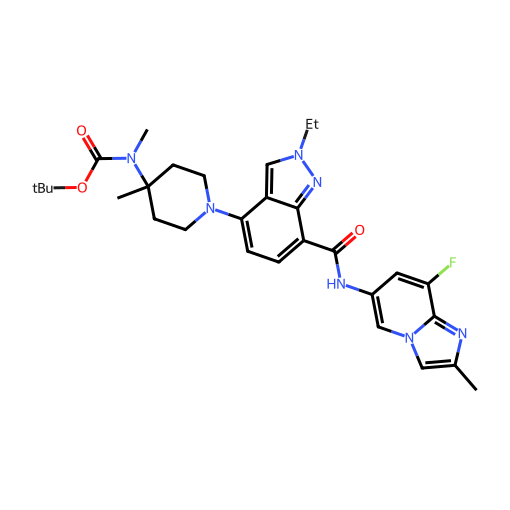 CCn1cc2c(N3CCC(C)(N(C)C(=O)OC(C)(C)C)CC3)ccc(C(=O)Nc3cc(F)c4nc(C)cn4c3)c2n1